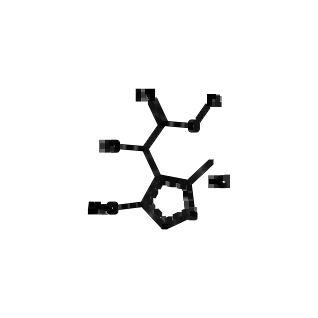 CCOC(=N)C(O)c1c(OC)csc1C.Cl